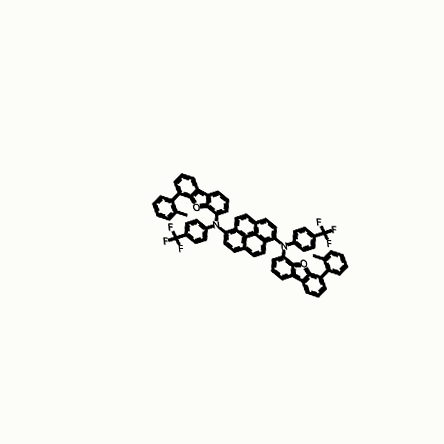 Cc1ccccc1-c1cccc2c1oc1c(N(c3ccc(C(F)(F)F)cc3)c3ccc4ccc5c(N(c6ccc(C(F)(F)F)cc6)c6cccc7c6oc6c(-c8ccccc8C)cccc67)ccc6ccc3c4c65)cccc12